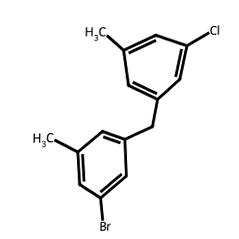 Cc1cc(Cl)cc(Cc2cc(C)cc(Br)c2)c1